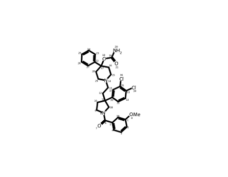 COc1cccc(C(=O)N2CCC(CCN3CCC(OC(N)=O)(c4ccccc4)CC3)(c3ccc(Cl)c(Cl)c3)C2)c1